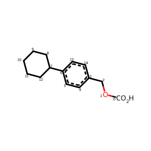 O=C(O)OCc1ccc(C2CCCCC2)cc1